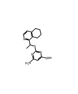 CSc1cc(N)nc(SC(C)c2nccc3c2CCCC3)n1